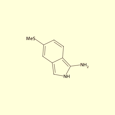 CSc1ccc2c(N)[nH]cc2c1